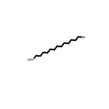 CCCCCCCCCCCCCCCCCCCCC[CH2][Sb]